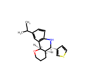 CC(C)c1ccc2c(c1)[C@@H]1OCCC[C@@H]1[C@@H](c1ccsc1)N2